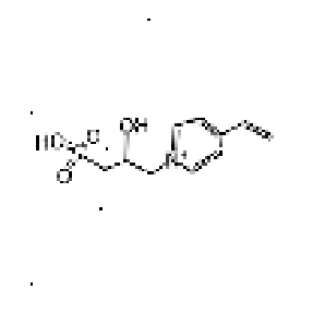 C=Cc1cc[n+](CC(O)CS(=O)(=O)O)cc1